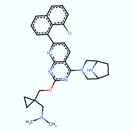 CN(C)CC1(COc2nc(N3CC4CCC(C3)N4)c3ccc(-c4cccc5cccc(Cl)c45)nc3n2)CC1